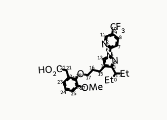 CCC(CC)c1nn(-c2ccc(C(F)(F)F)cn2)cc1CCCOc1c(CC(=O)O)cccc1OC